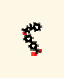 CC(C)(CC(C)(C)c1ccccc1)Oc1ccc(-c2ccc(C(=O)O)cc2)cc1